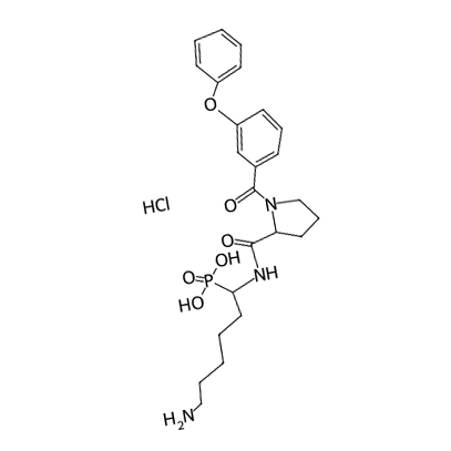 Cl.NCCCCCC(NC(=O)C1CCCN1C(=O)c1cccc(Oc2ccccc2)c1)P(=O)(O)O